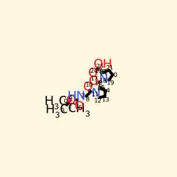 CC(C)(C)OC(=O)NCC(=O)N1CCC[C@H]1C(=O)N1CCC[C@H]1C(=O)O